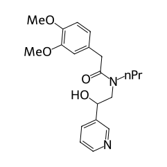 CCCN(CC(O)c1cccnc1)C(=O)Cc1ccc(OC)c(OC)c1